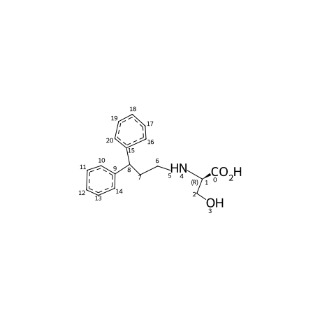 O=C(O)[C@@H](CO)NCCCC(c1ccccc1)c1ccccc1